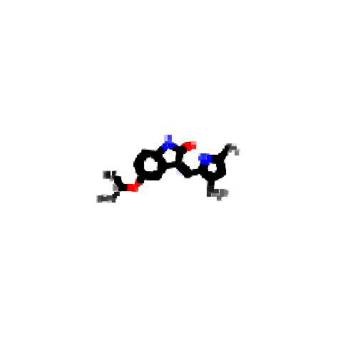 CCCCCC[C@H](C)Oc1ccc2c(c1)/C(=C/c1[nH]c(C)cc1C(=O)OCC)C(=O)N2